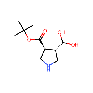 CC(C)(C)OC(=O)[C@@H]1CNC[C@H]1C(O)O